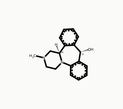 CN1CCN2c3ccccc3[C@@H](O)c3ccccc3[C@@H]2C1